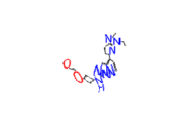 CCn1c(C)nc2ccc(-c3ccn4nc(N[C@H]5C[C@H](OCCOC)C5)ncc34)nc21